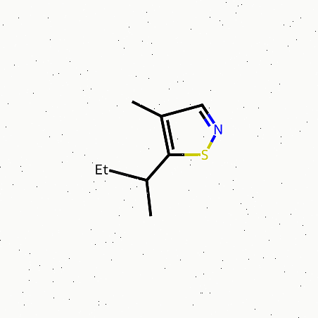 CCC(C)c1sncc1C